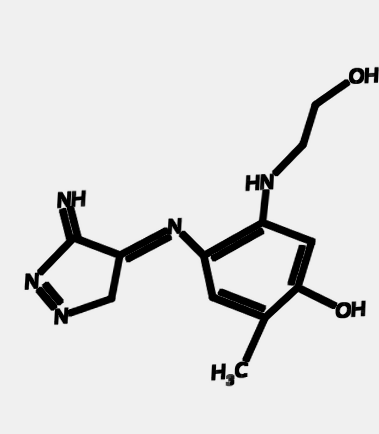 Cc1cc(N=C2CN=NC2=N)c(NCCO)cc1O